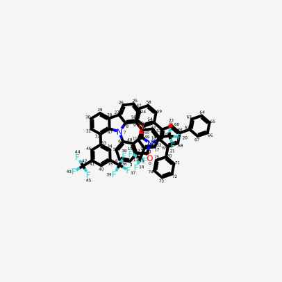 O=C1c2cccc(-n3c4c(-c5cc(C(F)(F)F)cc(C(F)(F)F)c5)cccc4c4cccc(-c5cc(C(F)(F)F)cc(C(F)(F)F)c5)c43)c2C(=O)N1c1c(-c2ccccc2)cc(-c2ccccc2)cc1-c1ccccc1